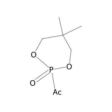 CC(=O)P1(=O)OCC(C)(C)CO1